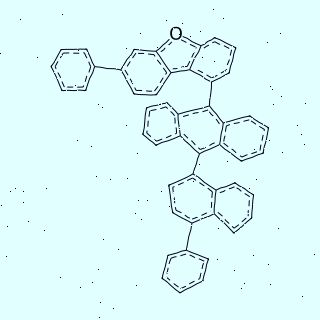 c1ccc(-c2ccc3c(c2)oc2cccc(-c4c5ccccc5c(-c5ccc(-c6ccccc6)c6ccccc56)c5ccccc45)c23)cc1